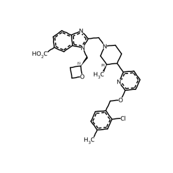 Cc1ccc(COc2cccc(C3CCN(Cc4nc5ccc(C(=O)O)cc5n4C[C@@H]4CCO4)C[C@@H]3C)n2)c(Cl)c1